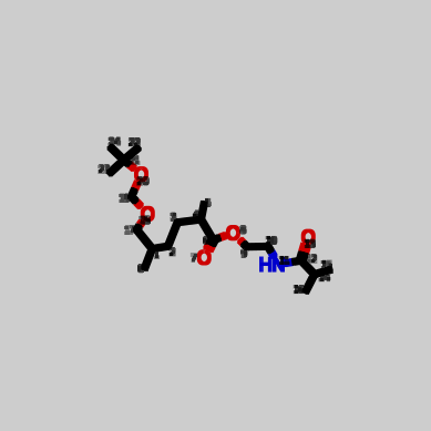 CC(CCC(C)C(=O)OCCNC(=O)C(C)C)COCOC(C)(C)C